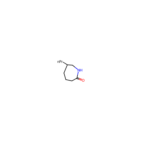 CCCC1CCCC(=O)NC1